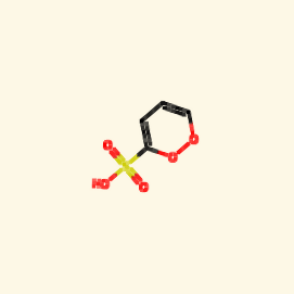 O=S(=O)(O)C1=CC=COO1